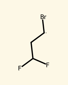 FC(F)C[CH]Br